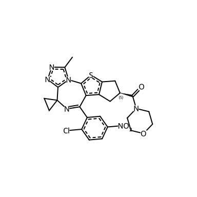 Cc1nnc2n1-c1sc3c(c1C(c1cc([N+](=O)[O-])ccc1Cl)=NC21CC1)C[C@H](C(=O)N1CCOCC1)C3